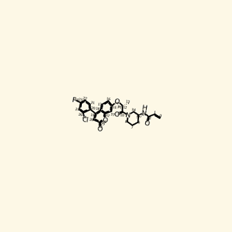 C=CC(=O)N[C@H]1CCCN(C(=O)[C@@H](C)Oc2ccc3c(-c4ccc(F)cc4Cl)cc(=O)oc3c2)C1